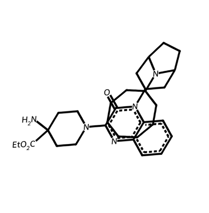 CCOC(=O)C1(N)CCN(c2nc3ccccc3n(C3CC4CCC(C3)N4C3CCCCCCC3)c2=O)CC1